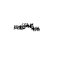 O=C(O)c1c(OC2CN(C(=O)Cn3cc(CN4CCCCC4)nn3)C2)ccc2c1O[B-](O)(O)CC2